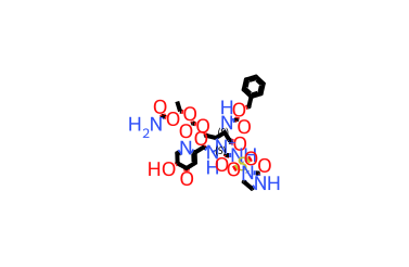 CC(OC(N)=O)OC(=O)OCC1[C@H](NC(=O)OCc2ccccc2)C(=O)[N@+]1(NC(=O)C1=CC(=O)C(O)C=N1)C(=O)NS(=O)(=O)N1CCNC1=O